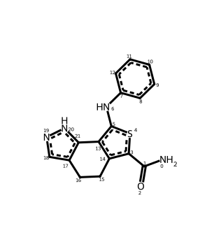 NC(=O)c1sc(Nc2ccccc2)c2c1CCc1cn[nH]c1-2